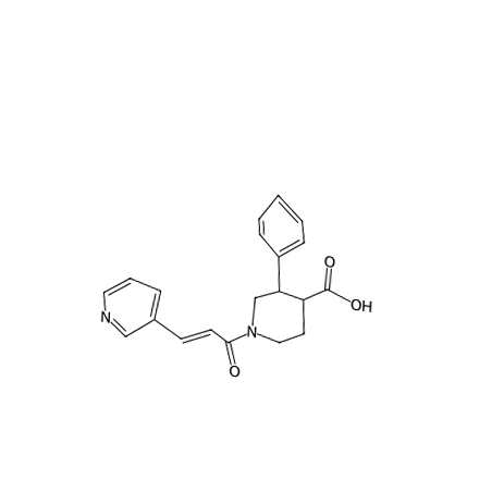 O=C(O)C1CCN(C(=O)C=Cc2cccnc2)CC1c1ccccc1